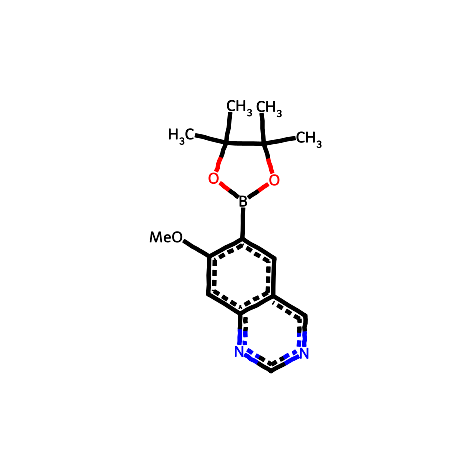 COc1cc2ncncc2cc1B1OC(C)(C)C(C)(C)O1